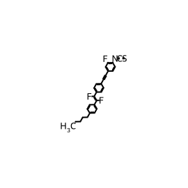 CCCCCc1ccc(/C(F)=C(\F)c2ccc(C#Cc3ccc(N=C=S)c(F)c3)cc2)cc1